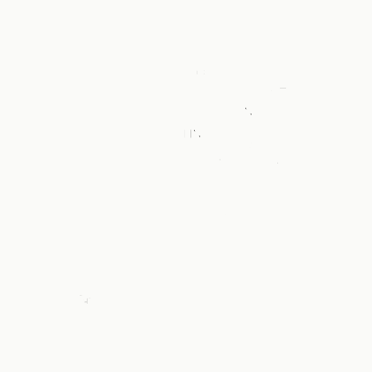 CN1C(=O)NC2(CCC(c3ccc(Br)cc3)C2)C1=O